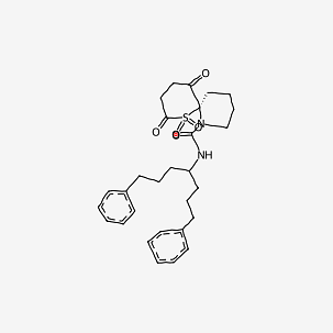 O=C(NC(CCCc1ccccc1)CCCc1ccccc1)N1CCCC[C@]12C(=O)CCC(=O)S2(=O)=O